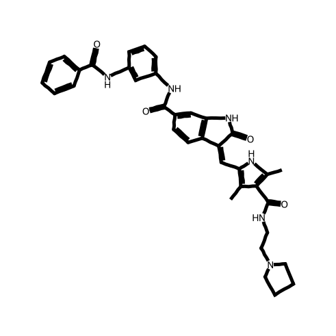 Cc1[nH]c(C=C2C(=O)Nc3cc(C(=O)Nc4cccc(NC(=O)c5ccccc5)c4)ccc32)c(C)c1C(=O)NCCN1CCCC1